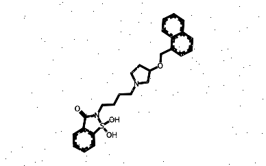 O=C1c2ccccc2S(O)(O)N1CCCCN1CCC(OCc2cccc3ccccc23)C1